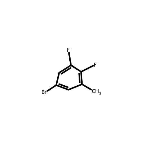 Cc1cc(Br)cc(F)c1F